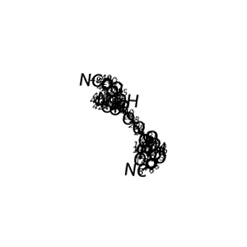 CC1(C)Oc2ccc(C#N)cc2[C@@H](N2CCCC2=O)[C@@H]1OP(=O)(O)OCCOCCOCCOP(=O)(O)O[C@H]1[C@H](N2CCCC2O)c2cc(C#N)ccc2OC1(C)C